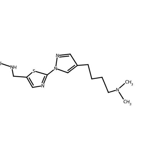 CN(C)CCCCc1cnn(-c2ncc(CNCl)s2)c1